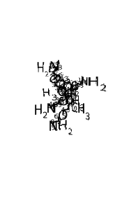 C[C@H](CCCOCCCN)[C@H]1CC[C@H]2C3[C@H](OCCCN)CC4C[C@H](OCCCN)CCC4(C)[C@H]3C[C@H](OCCCN)[C@]12C